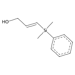 C[Si](C)(C=CCO)c1ccccc1